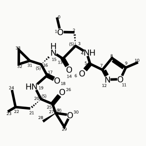 COC[C@H](NC(=O)c1cc(C)on1)C(=O)N[C@H](C(=O)N[C@@H](CC(C)C)C(=O)[C@@]1(C)CO1)C1CC1